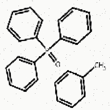 Cc1ccccc1.O=P(c1ccccc1)(c1ccccc1)c1ccccc1